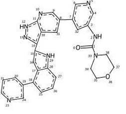 O=C(Nc1cncc(-c2cnc3[nH]nc(-c4cc5c(-c6cccnc6)cccc5[nH]4)c3c2)c1)N1CCOCC1